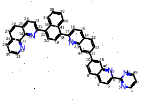 c1cnc(-c2ccc3ccc(-c4ccc5ccc(-c6ccc(-c7ccc8ccc9cccnc9c8n7)c7ccccc67)nc5c4)cc3n2)nc1